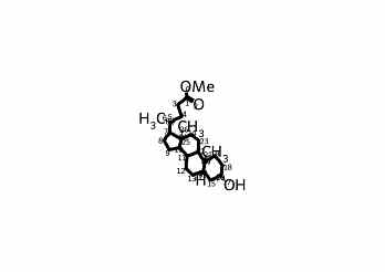 COC(=O)CC[C@@H](C)C1CCC2C3CC[C@@H]4C[C@H](O)CC[C@]4(C)C3CC[C@@]21C